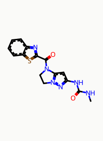 CNC(=O)Nc1cc2n(n1)CCN2C(=O)c1nc2ccccc2s1